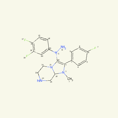 CN1C(c2ccc(F)cc2)=C(N(N)c2ccc(F)c(F)c2)N2CCNCC12